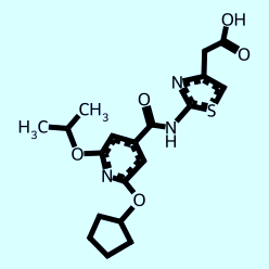 CC(C)Oc1cc(C(=O)Nc2nc(CC(=O)O)cs2)cc(OC2CCCC2)n1